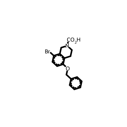 O=C(O)N1CCc2c(OCc3ccccc3)ccc(Br)c2C1